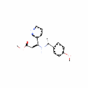 COC(=O)C=C(N[C@@H](C)c1ccc(OC)cc1)c1cccnc1